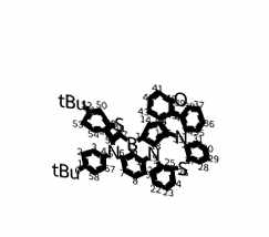 CC(C)(C)c1ccc(N2c3cccc4c3B(c3ccc5cc3N4c3ccccc3Sc3ccccc3N5c3cccc4oc5ccccc5c34)c3sc4cc(C(C)(C)C)ccc4c32)cc1